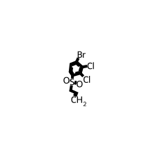 C=CCS(=O)(=O)c1ccc(Br)c(Cl)c1Cl